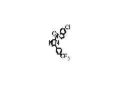 O=C(c1cncc(-c2ccc(C(F)(F)F)cc2)n1)n1ccc2cc(Cl)ccc21